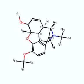 [2H]OC1C=C[C@@H]2[C@@]34CCN(C([2H])([2H])[2H])[C@]2([2H])C([2H])([2H])c2ccc(OC([2H])([2H])[2H])c(c23)OC14[2H]